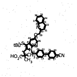 CC(C)(C)Sc1c(CC(C)(C)C(=O)O)n(Cc2ccc(-c3ccc(C#N)cc3)cc2)c2ncc(OCc3ccc4ccccc4n3)cc12